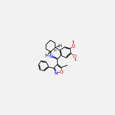 COc1cc2c(cc1OC)[C@H]1CCCC[C@H]1N=C2c1c(-c2ccccc2)noc1C